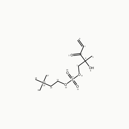 C=CC(=O)C(C)(O)COS(=O)(=O)OCC[N+](C)(C)C